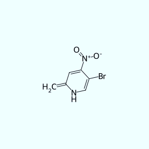 C=C1C=C([N+](=O)[O-])C(Br)=CN1